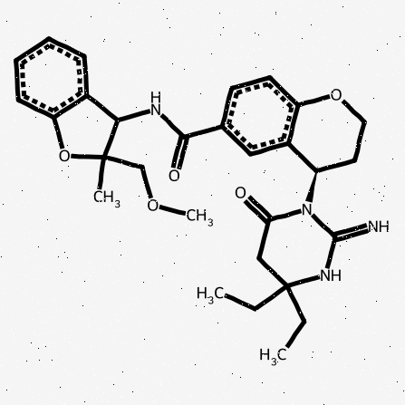 CCC1(CC)CC(=O)N([C@@H]2CCOc3ccc(C(=O)NC4c5ccccc5OC4(C)COC)cc32)C(=N)N1